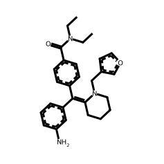 CCN(CC)C(=O)c1ccc(C(=C2CCCCN2Cc2ccoc2)c2cccc(N)c2)cc1